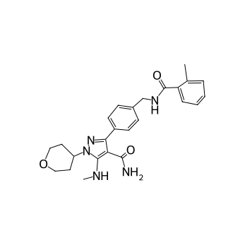 CNc1c(C(N)=O)c(-c2ccc(CNC(=O)c3ccccc3C)cc2)nn1C1CCOCC1